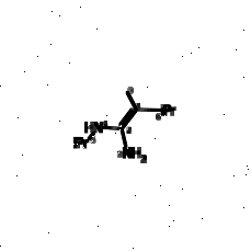 CC(=C(N)NC(C)C)C(C)C